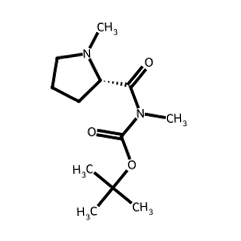 CN(C(=O)OC(C)(C)C)C(=O)[C@@H]1CCCN1C